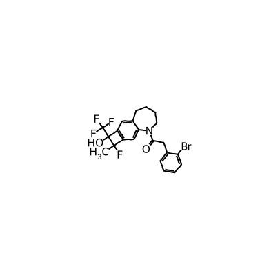 CC1(F)c2cc3c(cc2C1(O)C(F)(F)F)CCCCN3C(=O)Cc1ccccc1Br